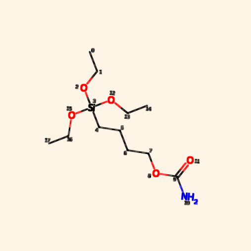 CCO[Si](CCCCOC(N)=O)(OCC)OCC